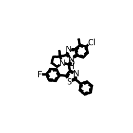 Cc1c(Cl)ccc2[nH]c(C3(C)CCCN3C(=O)c3nc(-c4ccccc4)sc3-c3ccc(F)cc3)nc12